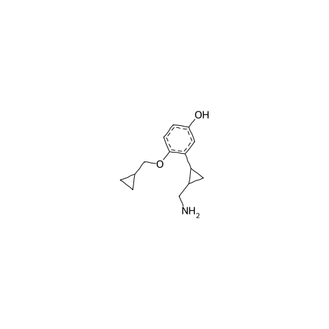 NCC1CC1c1cc(O)ccc1OCC1CC1